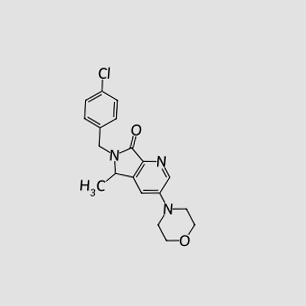 CC1c2cc(N3CCOCC3)cnc2C(=O)N1Cc1ccc(Cl)cc1